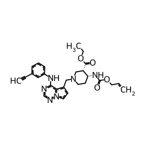 C#Cc1cccc(Nc2ncnn3ccc(CN4CC[C@@H](NC(=O)OCC=C)[C@@H](C(=O)OCC)C4)c23)c1